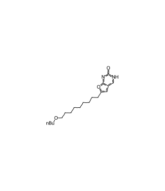 CCCCOCCCCCCCCCc1cc2c[nH]c(=O)nc2o1